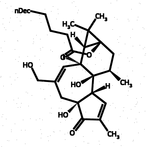 CCCCCCCCCCCCCC(=O)O[C@@]12C[C@@H](C)[C@@]3(O)[C@@H](C=C(CO)C[C@]4(O)C(=O)C(C)=C[C@@H]34)[C@@H]1C2(C)C